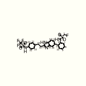 O=S(=O)(CF)Nc1ccccc1-c1ccc2[nH]c(CCc3ccc(NS(=O)(=O)C(F)(F)F)cc3)nc2c1